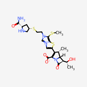 CSc1c2sc(C3=C(C(=O)[O-])N4C(=O)[C@H]([C@@H](C)O)[C@H]4[C@H]3C)c[n+]2cn1CCS[C@@H]1CN[C@H](C(N)=O)C1